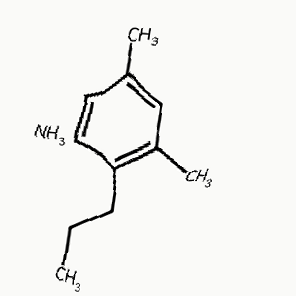 CCCc1ccc(C)cc1C.N